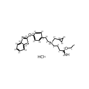 CCOC(=N)CCCN(CCc1ccc(Oc2nc3ccccc3s2)cc1)CC1CC1.Cl